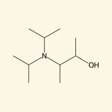 CC(O)C(C)N(C(C)C)C(C)C